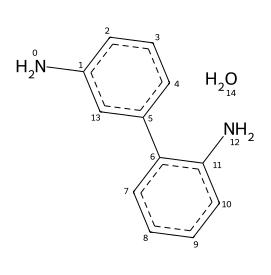 Nc1cccc(-c2ccccc2N)c1.O